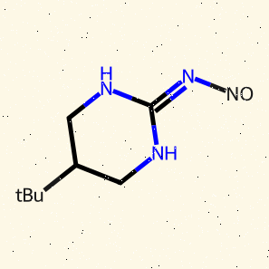 CC(C)(C)C1CNC(=NN=O)NC1